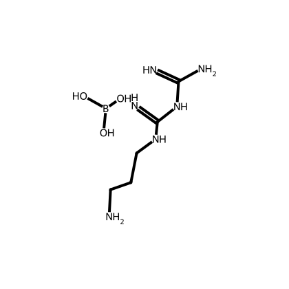 N=C(N)NC(=N)NCCCN.OB(O)O